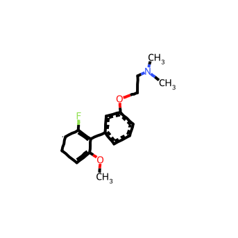 COC1=CC[CH]C(F)=C1c1cccc(OCCN(C)C)c1